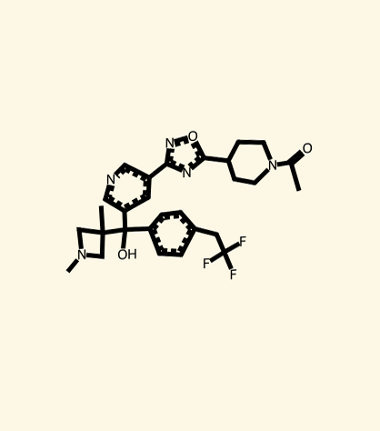 CC(=O)N1CCC(c2nc(-c3cncc(C(O)(c4ccc(CC(F)(F)F)cc4)C4(C)CN(C)C4)c3)no2)CC1